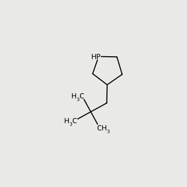 CC(C)(C)CC1CCPC1